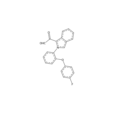 O=CC(=O)c1c2ccccc2cn1-c1ccccc1Oc1ccc(F)cc1